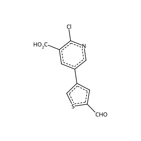 O=Cc1cc(-c2cnc(Cl)c(C(=O)O)c2)cs1